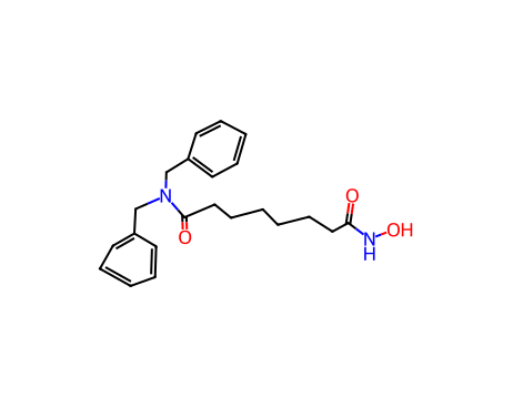 O=C(CCCCCCC(=O)N(Cc1ccccc1)Cc1ccccc1)NO